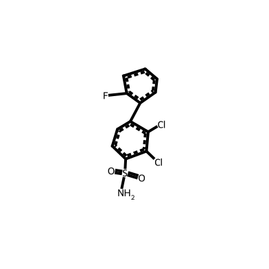 NS(=O)(=O)c1ccc(-c2ccccc2F)c(Cl)c1Cl